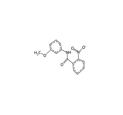 COc1cccc(NC(=O)c2ccccc2[N+](=O)[O-])c1